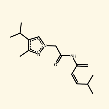 C=C(/C=C\C(C)C)NC(=O)Cn1cc(C(C)C)c(C)n1